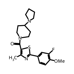 COc1ccc(-c2nc(C)c(C(=O)N3CCC(N4CCCC4)CC3)s2)cc1F